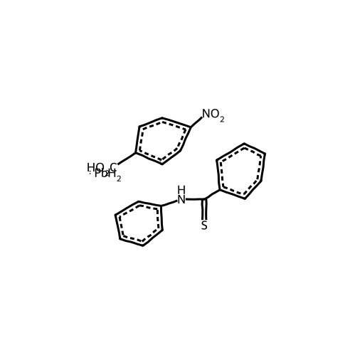 O=C(O)c1ccc([N+](=O)[O-])cc1.S=C(Nc1ccccc1)c1ccccc1.[PbH2]